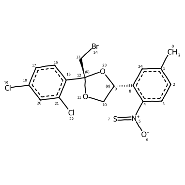 Cc1ccc([N+]([O-])=S)c([C@@H]2CO[C@](CBr)(c3ccc(Cl)cc3Cl)O2)c1